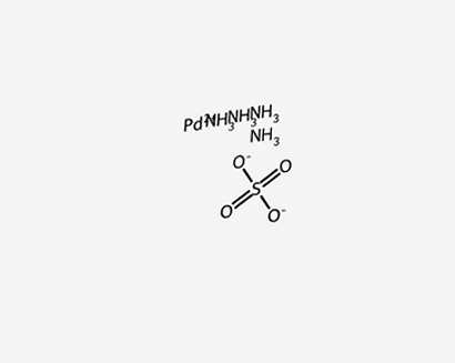 N.N.N.N.O=S(=O)([O-])[O-].[Pd+2]